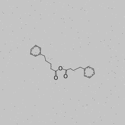 O=C(CCCCc1ccccc1)OC(=O)CCCc1ccccc1